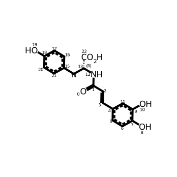 O=C(C=Cc1ccc(O)c(O)c1)N[C@H](Cc1ccc(O)cc1)C(=O)O